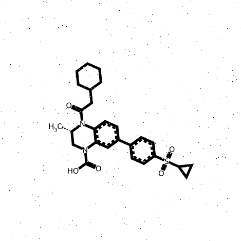 C[C@H]1CN(C(=O)O)c2cc(-c3ccc(S(=O)(=O)C4CC4)cc3)ccc2N1C(=O)CC1CCCCC1